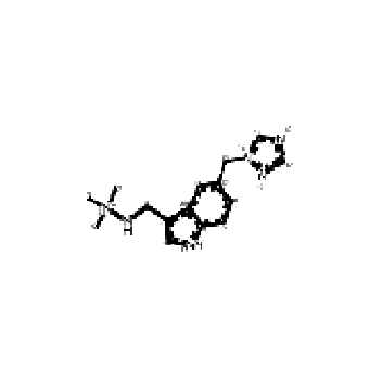 C[N+](C)(C)NCc1c[nH]c2ccc(Cn3cncn3)cc12